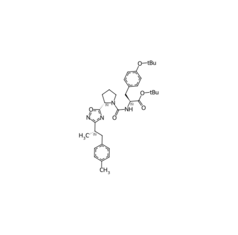 Cc1ccc(C[C@H](C)c2noc([C@@H]3CCCN3C(=O)N[C@@H](Cc3ccc(OC(C)(C)C)cc3)C(=O)OC(C)(C)C)n2)cc1